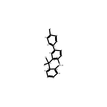 Cc1ccc(-c2ccc3c(c2)C(C)(C)c2ccccc2S3)cc1